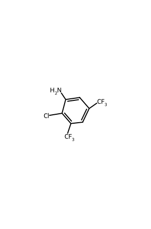 Nc1cc(C(F)(F)F)cc(C(F)(F)F)c1Cl